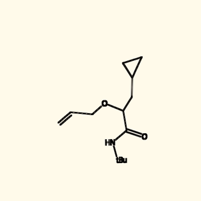 C=CCOC(CC1CC1)C(=O)NC(C)(C)C